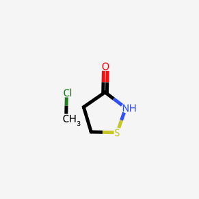 CCl.O=C1CCSN1